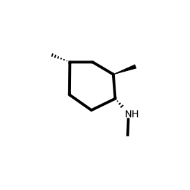 CN[C@@H]1CC[C@H](C)C[C@H]1C